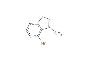 FC(F)(F)C1=CCc2cccc(Br)c21